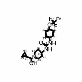 O=C(Nc1ccc(OC(F)(F)F)cc1)NC1CCN(C(O)C2=CC2)CC1